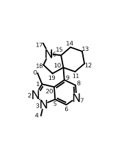 Cc1nn(C)c2cncc(C34CCCCC3N(C)CC4)c12